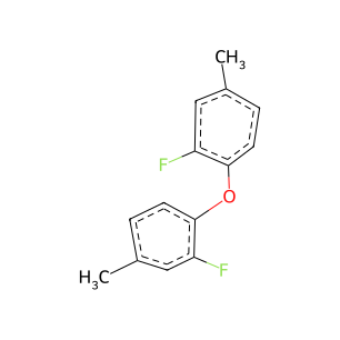 Cc1ccc(Oc2ccc(C)cc2F)c(F)c1